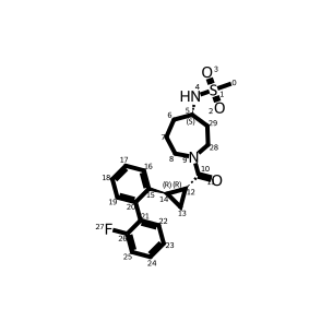 CS(=O)(=O)N[C@H]1CCCN(C(=O)[C@@H]2C[C@H]2c2ccccc2-c2ccccc2F)CC1